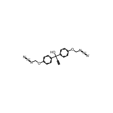 C#CC(O)(c1ccc(OCN=[N+]=[N-])cc1)c1ccc(OCN=[N+]=[N-])cc1